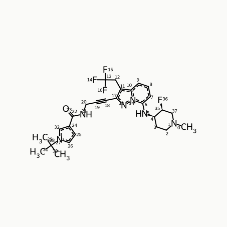 CN1CC[C@@H](Nc2cccc3c(CC(F)(F)F)c(C#CCNC(=O)c4ccn(C(C)(C)C)c4)nn23)[C@@H](F)C1